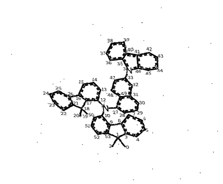 CC1(C)c2ccccc2-c2c(N(c3cccc4c3C(C)(C)c3ccccc3-4)c3cccc4cc(-n5c6ccccc6c6ccccc65)ccc34)cccc21